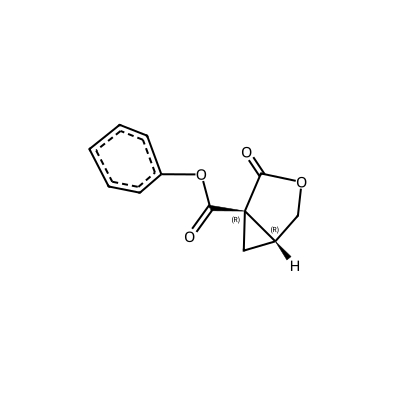 O=C1OC[C@@H]2C[C@]12C(=O)Oc1ccccc1